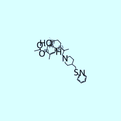 CC(=O)O[C@@H]1[CH][C@@]2(O)[C@H](C)CC[C@@H](C(C)CN3CCC(CSc4ccccn4)CC3)[C@H]2C=C1C